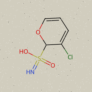 N=S(=O)(O)C1OC=CC=C1Cl